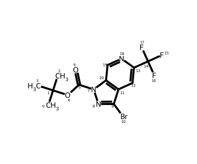 CC(C)(C)OC(=O)n1nc(Br)c2cc(C(F)(F)F)ncc21